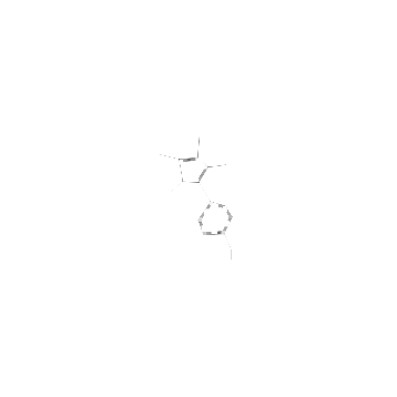 CC1=C(C)C(C)C(c2ccc(F)cc2)=C1C